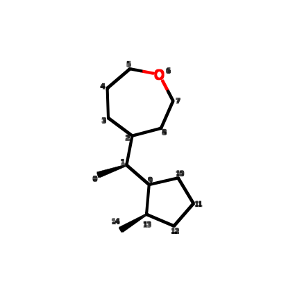 C[C@@H](C1CCCOCC1)C1CCC[C@H]1C